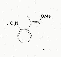 CO/N=C(\C)c1ccccc1[N+](=O)[O-]